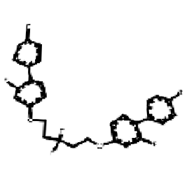 Fc1ccc(-c2ccc(OCCC(F)(F)CCOc3ccc(-c4ccc(F)cc4)c(F)c3)cc2F)cc1